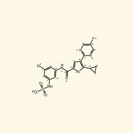 CS(=O)(=O)Nc1cc(Cl)cc(NC(=O)c2cc(-c3ncc(F)cn3)c(C3CC3)s2)c1